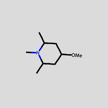 COC1CC(C)N(C)C(C)C1